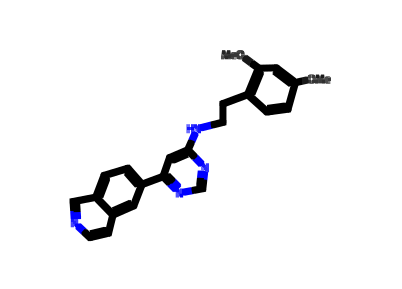 COc1ccc(CCNc2cc(-c3ccc4cnccc4c3)ncn2)c(OC)c1